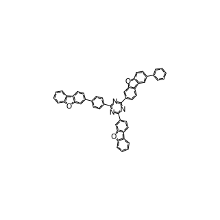 c1ccc(-c2ccc3oc4cc(-c5nc(-c6ccc(-c7ccc8c(c7)oc7ccccc78)cc6)nc(-c6ccc7c(c6)oc6ccccc67)n5)ccc4c3c2)cc1